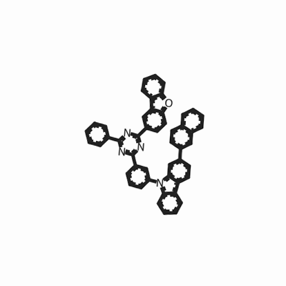 c1ccc(-c2nc(-c3cccc(-n4c5ccccc5c5ccc(-c6ccc7ccccc7c6)cc54)c3)nc(-c3ccc4oc5ccccc5c4c3)n2)cc1